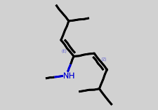 CNC(/C=C\C(C)C)=C/C(C)C